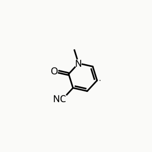 Cn1c[c]cc(C#N)c1=O